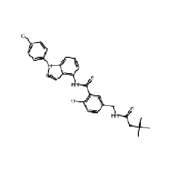 CC(C)(C)CC(=O)NCc1ccc(Cl)c(C(=O)Nc2cccc3c2cnn3-c2ccc(Cl)cc2)c1